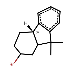 CC1(C)c2ccccc2[C@H]2CCC(Br)CC21